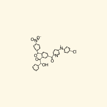 CN(c1ccc(Cl)cc1)c1ccc(C(=O)c2ccc(C(=O)c3ccc([N+](=O)[O-])cc3)c(C(=O)C(O)c3ccccc3)c2)nc1